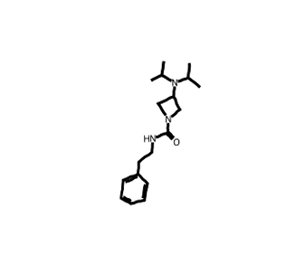 CC(C)N(C(C)C)C1CN(C(=O)NCCc2ccccc2)C1